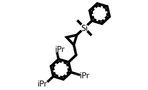 CC(C)c1cc(C(C)C)c(CC2CC2[Si](C)(C)c2ccccc2)c(C(C)C)c1